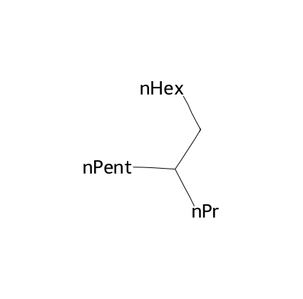 [CH2]CCCCCCC(CCC)CCCCC